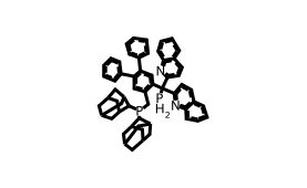 PC(c1ccc2ccccc2n1)(c1ccc2ccccc2n1)c1cc(-c2ccccc2)c(-c2ccccc2)cc1CP(C1C2CC3CC(C2)CC1C3)C1C2CC3CC(C2)CC1C3